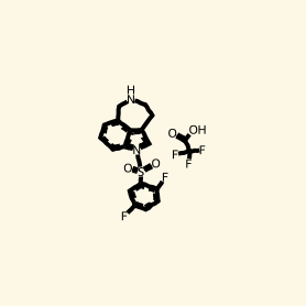 O=C(O)C(F)(F)F.O=S(=O)(c1cc(F)ccc1F)n1cc2c3c(cccc31)CNCC2